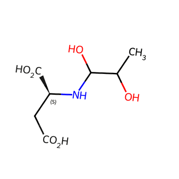 CC(O)C(O)N[C@@H](CC(=O)O)C(=O)O